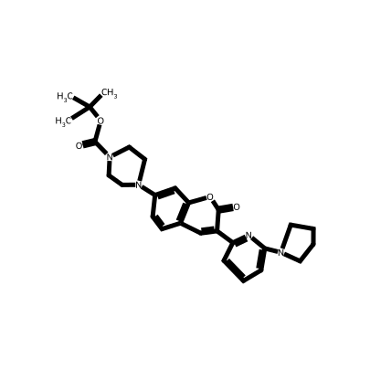 CC(C)(C)OC(=O)N1CCN(c2ccc3cc(-c4cccc(N5CCCC5)n4)c(=O)oc3c2)CC1